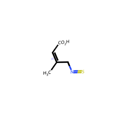 C/C(=C/C(=O)O)CN=S